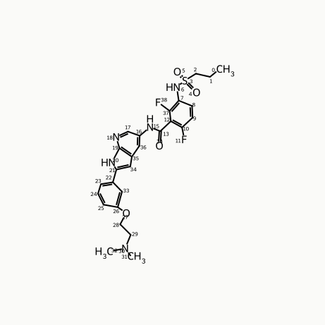 CCCS(=O)(=O)Nc1ccc(F)c(C(=O)Nc2cnc3[nH]c(-c4cccc(OCCN(C)C)c4)cc3c2)c1F